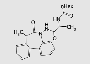 CCCCCCC(=O)N[C@@H](C)C(=O)NN1C(=O)C(C)c2ccccc2-c2ccccc21